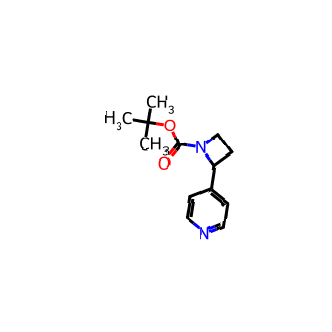 CC(C)(C)OC(=O)N1CCC1c1ccncc1